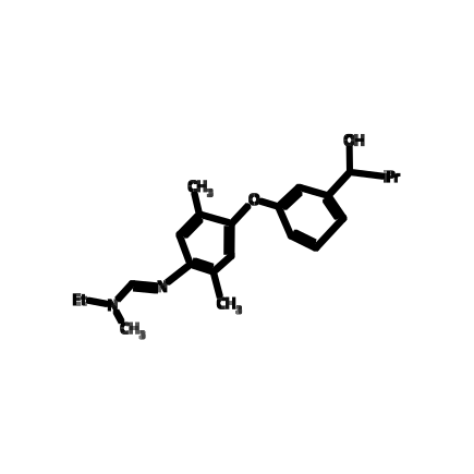 CCN(C)C=Nc1cc(C)c(Oc2cccc(C(O)C(C)C)c2)cc1C